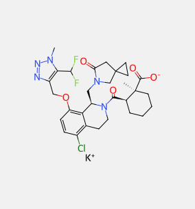 Cn1nnc(COc2ccc(Cl)c3c2[C@@H](CN2CC4(CC4)CC2=O)N(C(=O)[C@@H]2CCCC[C@]2(C)C(=O)[O-])CC3)c1C(F)F.[K+]